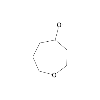 [O]C1CCCOCC1